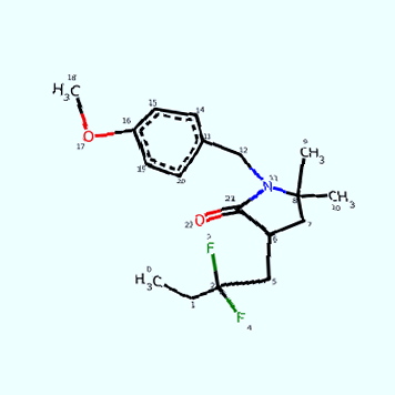 CCC(F)(F)CC1CC(C)(C)N(Cc2ccc(OC)cc2)C1=O